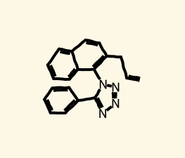 C=CCc1ccc2ccccc2c1-n1nnnc1-c1ccccc1